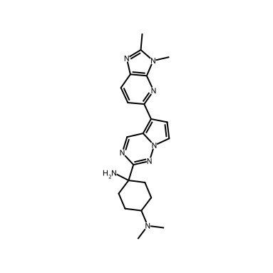 Cc1nc2ccc(-c3ccn4nc(C5(N)CCC(N(C)C)CC5)ncc34)nc2n1C